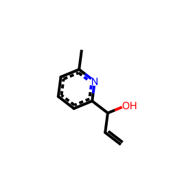 C=CC(O)c1cccc(C)n1